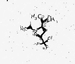 CCn1nc(C(F)(F)F)cc1C(C)C